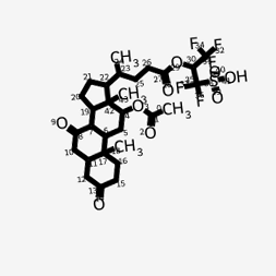 CC(=O)OC1CC2C(C(=O)CC3CC(=O)CCC32C)C2CCC(C(C)CCC(=O)OC(C(F)(F)F)C(F)(F)S(=O)(=O)O)C12C